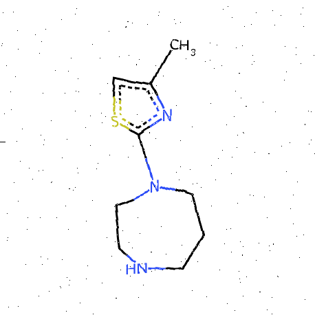 Cc1csc(N2CCCNCC2)n1